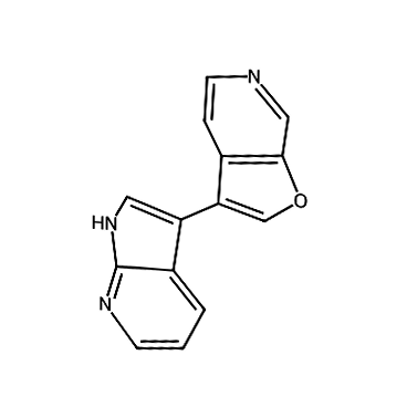 c1cnc2[nH]cc(-c3coc4cnccc34)c2c1